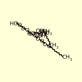 CCCCCCCCC(=O)N(C)CC(O)C(O)C(O)C(O)CO.CCCCCCCCCCCCOCCOCCOCCOCCOCCOCCOCCOCCOCCO